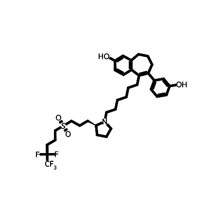 O=S(=O)(CCC[C@@H]1CCCN1CCCCCCC1=C(c2cccc(O)c2)CCCc2cc(O)ccc21)CCCC(F)(F)C(F)(F)F